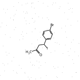 CC(=O)CC(I)c1ccc(Br)cc1